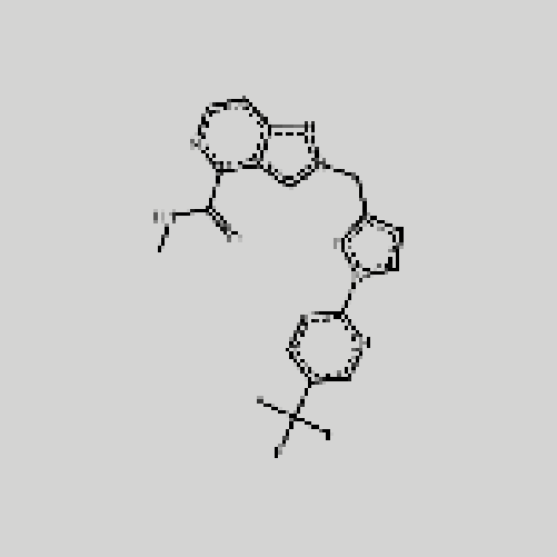 CNC(=O)c1nccc2nn(Cc3ccn(-c4ccc(C(F)(F)F)cn4)n3)cc12